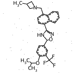 CC1CN(Cc2ccc(C3=NOC(c4ccc(OC(C)C)c(C(F)(F)F)c4)N3)c3ccccc23)C1